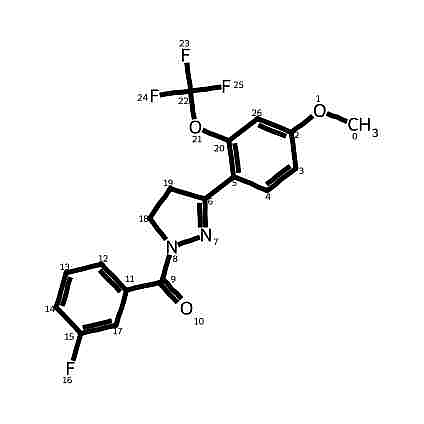 COc1ccc(C2=NN(C(=O)c3cccc(F)c3)CC2)c(OC(F)(F)F)c1